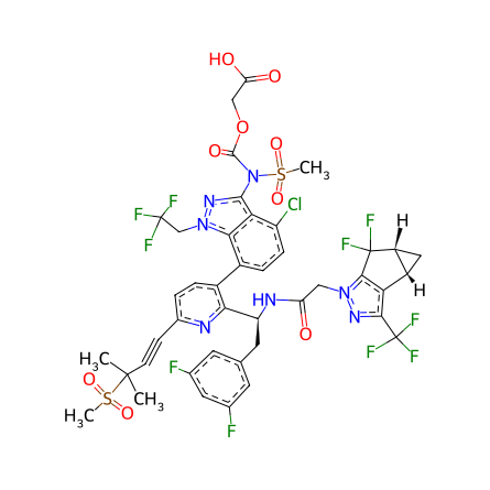 CC(C)(C#Cc1ccc(-c2ccc(Cl)c3c(N(C(=O)OCC(=O)O)S(C)(=O)=O)nn(CC(F)(F)F)c23)c([C@H](Cc2cc(F)cc(F)c2)NC(=O)Cn2nc(C(F)(F)F)c3c2C(F)(F)[C@@H]2C[C@H]32)n1)S(C)(=O)=O